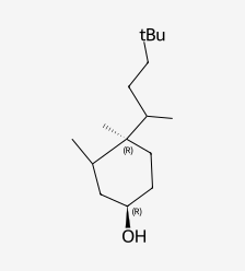 CC(CCC(C)(C)C)[C@@]1(C)CC[C@@H](O)CC1C